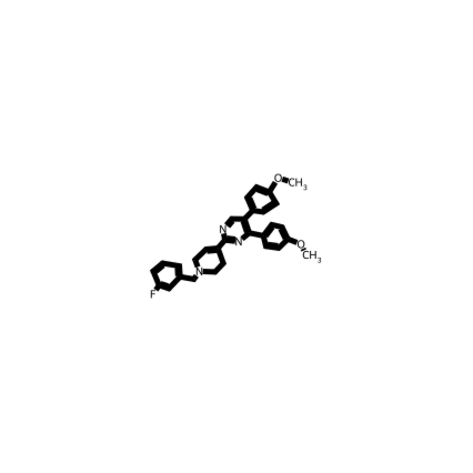 COc1ccc(-c2cnc(C3=CCN(Cc4cccc(F)c4)CC3)nc2-c2ccc(OC)cc2)cc1